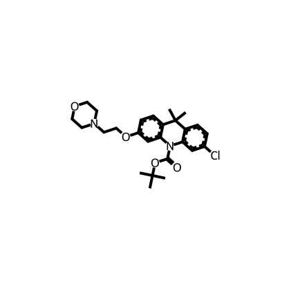 CC(C)(C)OC(=O)N1c2cc(Cl)ccc2C(C)(C)c2ccc(OCCN3CCOCC3)cc21